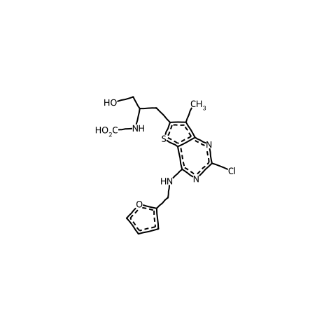 Cc1c(CC(CO)NC(=O)O)sc2c(NCc3ccco3)nc(Cl)nc12